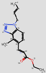 CC=CCn1nnc2c(C)c(/C=C/C(=O)OCC)ccc21